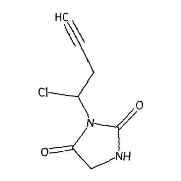 C#CCC(Cl)N1C(=O)CNC1=O